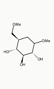 COC[C@H]1CC(OC)[C@H](O)[C@@H](O)[C@@H]1O